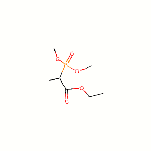 CCOC(=O)C(C)P(=O)(OC)OC